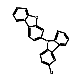 Clc1ccc2c(c1)c1ccccc1n2-c1ccc2c(c1)oc1ccccc12